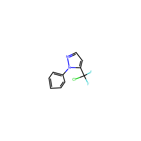 FC(F)(Cl)c1[c]cnn1-c1ccccc1